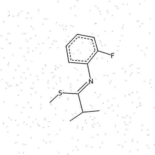 CSC(=Nc1ccccc1F)C(C)C